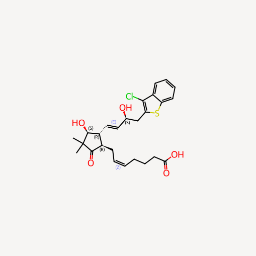 CC1(C)C(=O)[C@H](C/C=C\CCCC(=O)O)[C@@H](/C=C/[C@@H](O)Cc2sc3ccccc3c2Cl)[C@@H]1O